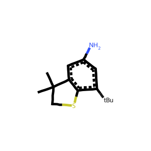 CC(C)(C)c1cc(N)cc2c1SCC2(C)C